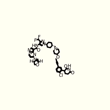 O=C1CCC(c2cc(C#CCOC3CCN(C[C@H]4CC[C@H](n5cc(NC(=O)c6cnn7ccc(N8C[C@H]9C[C@@H]8CO9)nc67)c(C(F)F)n5)CC4)CC3)ccc2Cl)C(=O)N1